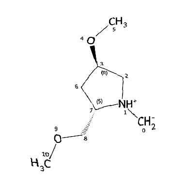 [CH2-][NH+]1C[C@H](OC)C[C@H]1COC